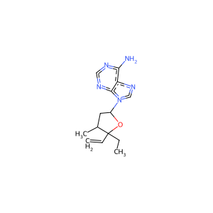 C=CC1(CC)OC(n2cnc3c(N)ncnc32)CC1C